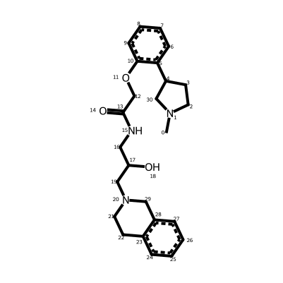 CN1CCC(c2ccccc2OCC(=O)NCC(O)CN2CCc3ccccc3C2)C1